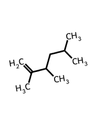 C=C(C)C(C)CC(C)C